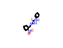 O=[N+]([O-])c1ccccc1C=NNC(=S)NC1CC2C=CC1C2